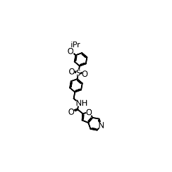 CC(C)Oc1cccc(S(=O)(=O)c2ccc(CNC(=O)c3cc4ccncc4o3)cc2)c1